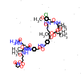 COc1ccc(C[C@H]2NC(=O)/C=C/CC([C@H](C)[C@H]3O[C@@H]3c3ccc(CNC(=O)OCc4ccc(NC(=O)[C@@H](CCCNC(N)=O)NC(=O)[C@@H](NC(=O)CCCC(=O)ON5C(=O)CCC5=O)C(C)C)cc4)cc3)OC(=O)[C@H](CC(C)C)OC(=O)C(C)(C)CNC2=O)cc1Cl